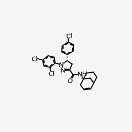 O=C(NC12CC=CC(CCC1)C2)C1=NN(c2ccc(Cl)cc2Cl)[C@H](c2ccc(Cl)cc2)C1